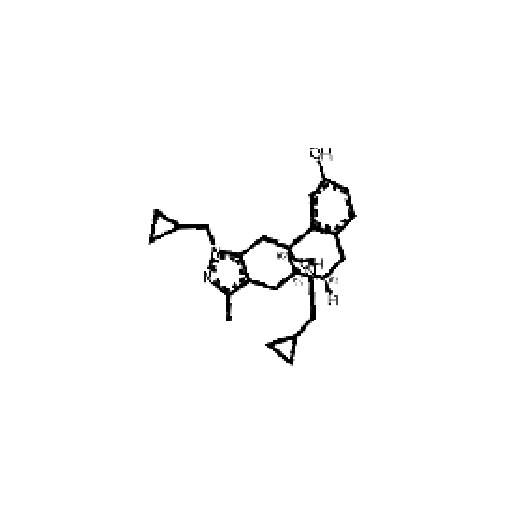 Cc1nn(CC2CC2)c2c1C[C@@]1(O)[C@H]3Cc4ccc(O)cc4[C@@]1(CCN3CC1CC1)C2